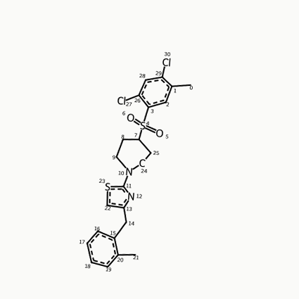 Cc1cc(S(=O)(=O)C2CCN(c3nc(Cc4ccccc4C)cs3)CC2)c(Cl)cc1Cl